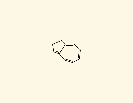 C1=CC=C2CCC=C2C=C1